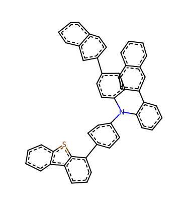 c1ccc(N(c2ccc(-c3ccc4ccccc4c3)cc2)c2ccc(-c3cccc4c3sc3ccccc34)cc2)c(-c2ccc3ccccc3c2)c1